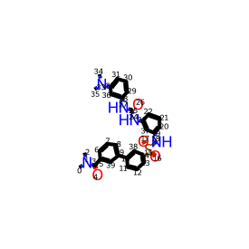 CN(C)C(=O)c1cccc(-c2cccc(S(=O)(=O)Nc3cccc(NC(=O)Nc4cccc(N(C)C)c4)c3)c2)c1